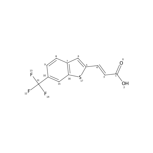 O=C(O)C=Cc1cc2ccc(C(F)(F)F)cc2s1